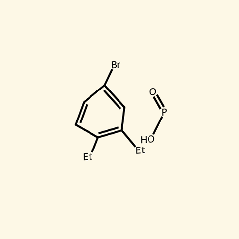 CCc1ccc(Br)cc1CC.O=PO